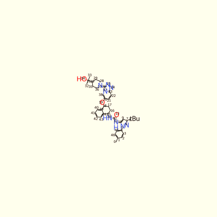 Cc1ccc(-n2nc(C(C)(C)C)cc2NC(=O)NC2CCC(Oc3ccc4nnc(N5CCC(C(C)(C)O)CC5)n4c3)c3ccccc32)cc1